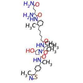 Cc1ncsc1-c1ccc([C@H](C)NC(=O)[C@@H]2C[C@@H](O)CN2C(=O)[C@@H](NC(=O)CCCCCc2cccc(NC(=O)[C@@H](N)CCC(N)=O)c2C)C(C)(C)C)cc1